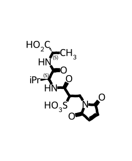 CC(C)[C@H](NC(=O)C(CN1C(=O)C=CC1=O)S(=O)(=O)O)C(=O)N[C@@H](C)C(=O)O